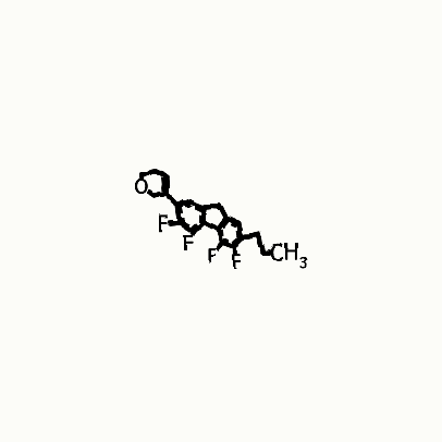 CCCc1cc2c(c(F)c1F)-c1c(cc(C3=CCCOC3)c(F)c1F)C2